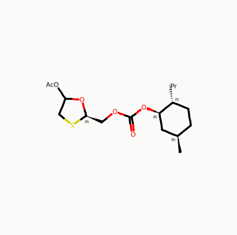 CC(=O)OC1CS[C@H](COC(=O)O[C@@H]2C[C@H](C)CC[C@H]2C(C)C)O1